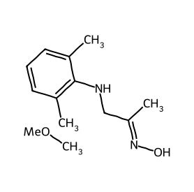 C/C(CNc1c(C)cccc1C)=N\O.COC